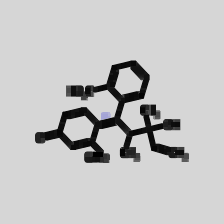 C=CC(C)(O)C(C)/C(=C1/C=CC(=O)C=C1OC)c1ccccc1C(=O)O